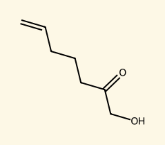 C=CCCCC(=O)CO